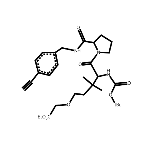 C#Cc1ccc(CNC(=O)C2CCCN2C(=O)C(NC(=O)OC(C)(C)C)C(C)(C)CCOCC(=O)OCC)cc1